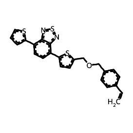 C=Cc1ccc(COCc2ccc(-c3ccc(-c4cccs4)c4nsnc34)s2)cc1